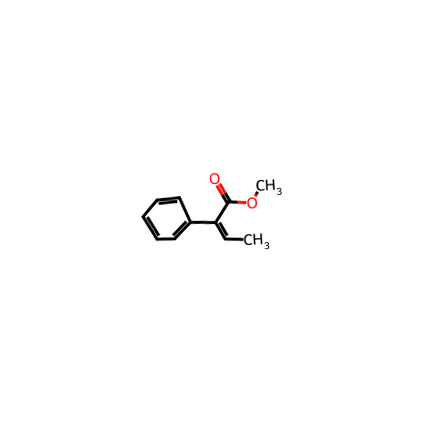 C/C=C(\C(=O)OC)c1ccccc1